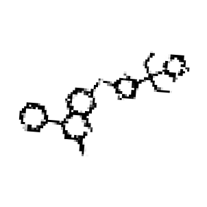 CCC(CC)(c1cnc(Sc2ccc3c(-c4cccnc4)cc(=O)oc3c2)s1)n1ncnn1